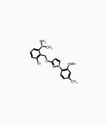 CCc1cccc(N(C)N)c1COc1ccn(-c2ccc(C)cc2OC)n1